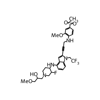 COCC(O)CN1CCC(Nc2cccc3c2cc(C#CCNc2ccc(S(C)(=O)=O)cc2OC)n3CC(F)(F)F)C(F)C1